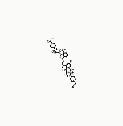 CCC(=O)N1CCC(S(=O)(=O)NC(=O)Nc2c(C(C)C)cccc2C(C)CCC(C)c2cc(F)cc(C(C)C)c2NC(=O)NS(=O)(=O)C2CCN(CC3CC3)CC2)CC1